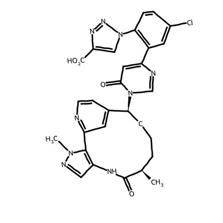 C[C@@H]1CCC[C@H](n2cnc(-c3cc(Cl)ccc3-n3cc(C(=O)O)nn3)cc2=O)c2ccnc(c2)-c2c(cnn2C)NC1=O